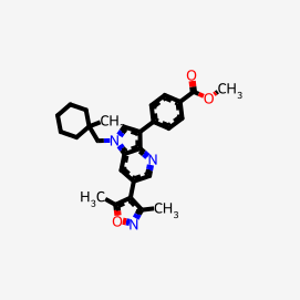 COC(=O)c1ccc(-c2cn(CC3(C)CCCCC3)c3cc(-c4c(C)noc4C)cnc23)cc1